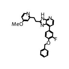 COc1ccnc(CCc2nc3c(-c4ccc(OCc5ccccc5)c(F)c4)ccnc3[nH]2)c1